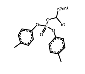 CCCCCC(CC)OP(=O)(Oc1ccc(C)cc1)Oc1ccc(C)cc1